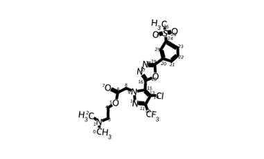 CN(C)CCOC(=O)Cn1nc(C(F)(F)F)c(Cl)c1-c1nnc(-c2cccc(S(C)(=O)=O)c2)o1